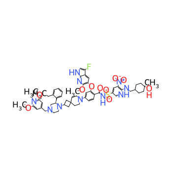 CCc1ccccc1[C@@H]1CN(Cc2cc(OC)nc(OC)c2)CCN1C1CC2(CCN(c3ccc(C(=O)NS(=O)(=O)c4cnc(NCC5CCC(C)(O)CC5)c([N+](=O)[O-])c4)c(Oc4cc5c(F)c[nH]c5nc4OC)c3)CC2)C1